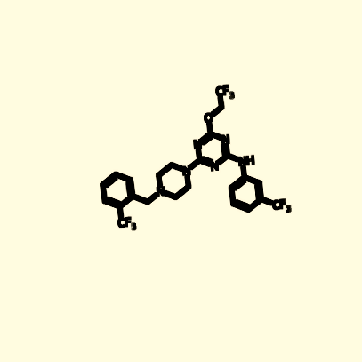 FC(F)(F)COc1nc(Nc2cccc(C(F)(F)F)c2)nc(N2CCN(Cc3ccccc3C(F)(F)F)CC2)n1